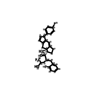 C[C@]12Cc3cnn(-c4ccc(F)cc4)c3C=C1CC[C@@H]2C(=O)N(Cc1ccccc1F)CC(O)C(F)(F)F